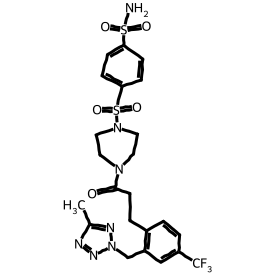 Cc1nnn(Cc2cc(C(F)(F)F)ccc2CCC(=O)N2CCN(S(=O)(=O)c3ccc(S(N)(=O)=O)cc3)CC2)n1